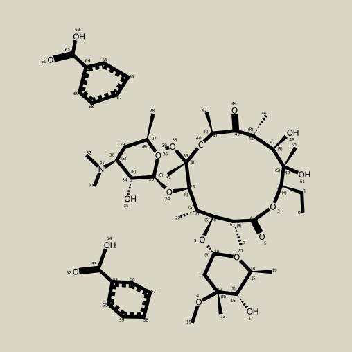 CC[C@H]1OC(=O)[C@H](C)[C@@H](O[C@H]2C[C@@](C)(OC)[C@@H](O)[C@H](C)O2)[C@H](C)[C@@H](O[C@@H]2O[C@H](C)C[C@H](N(C)C)[C@H]2O)[C@](C)(OC)C[C@@H](C)C(=O)[C@H](C)[C@@H](O)[C@]1(C)O.O=C(O)c1ccccc1.O=C(O)c1ccccc1